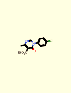 CCOC(=O)c1c(C)ncn(-c2ccc(Cl)cc2)c1=O